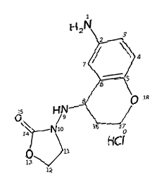 Cl.Nc1ccc2c(c1)C(NN1CCOC1=O)CCO2